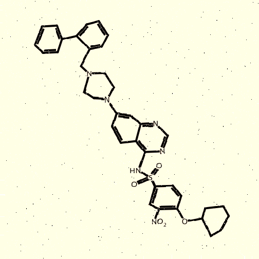 O=[N+]([O-])c1cc(S(=O)(=O)Nc2ncnc3cc(N4CCN(Cc5ccccc5-c5ccccc5)CC4)ccc23)ccc1OC1CCCCC1